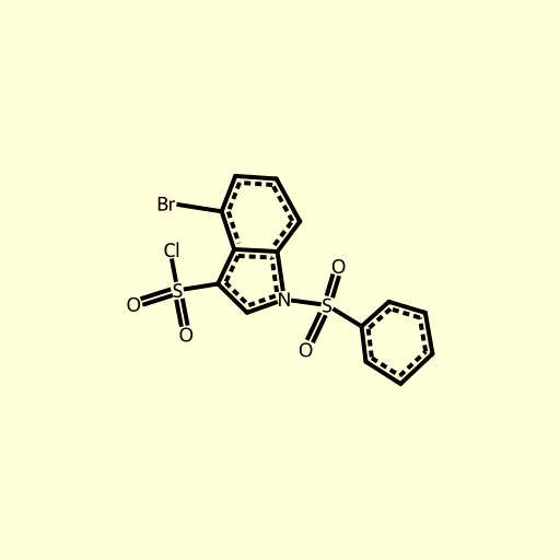 O=S(=O)(Cl)c1cn(S(=O)(=O)c2ccccc2)c2cccc(Br)c12